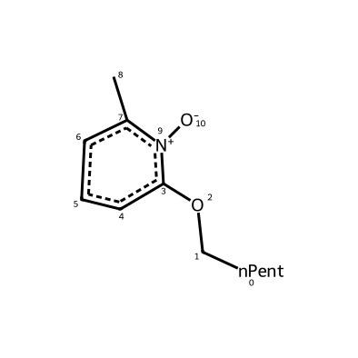 CCCCCCOc1cccc(C)[n+]1[O-]